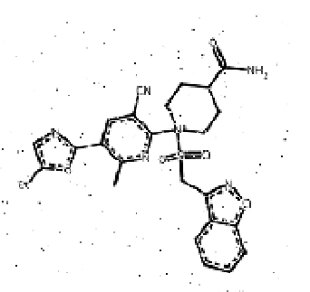 CCc1cnc(-c2cc(C#N)c([N+]3(S(=O)(=O)Cc4noc5ccccc45)CCC(C(N)=O)CC3)nc2C)o1